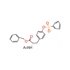 CC(=O)N[C@@H](Cc1ccc(OS(=O)(=O)c2ccccc2)cc1)C(=O)OCc1ccccc1